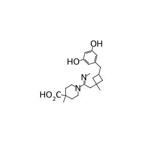 C/N=C(\CC1(C)CC(Cc2cc(O)cc(O)c2)C1)N1CCC(C)(C(=O)O)CC1